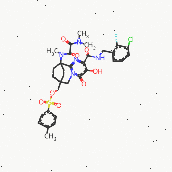 Cc1ccc(S(=O)(=O)OCC23CCC(N(C)C(=O)C(=O)N(C)C)(CC2)c2nc(C(=O)NCc4cccc(Cl)c4F)c(O)c(=O)n2C3)cc1